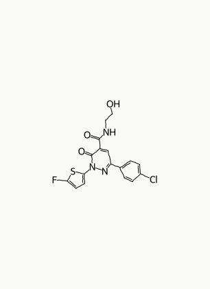 O=C(NCCO)c1cc(-c2ccc(Cl)cc2)nn(-c2ccc(F)s2)c1=O